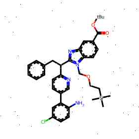 CC(C)(C)OC(=O)c1ccc2c(c1)nc(C(Cc1ccccc1)c1ccc(-c3cc(Cl)ccc3N)cn1)n2COCC[Si](C)(C)C